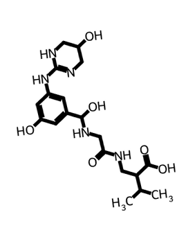 CC(C)C(CNC(=O)CNC(O)c1cc(O)cc(NC2=NCC(O)CN2)c1)C(=O)O